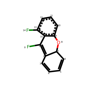 FC1=C2C=CC=CC2Oc2cccc(F)c21